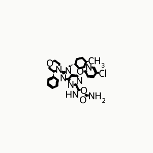 C[C@H]1CC[C@H](Cn2c(N3CCOC[C@H]3c3ccccc3)nc3nc(C(=N)OC(N)=O)nc(Oc4ccc(Cl)cn4)c32)CC1